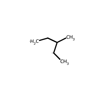 [CH2]CC(C)[CH]C